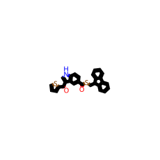 O=C(SCC1c2ccccc2-c2ccccc21)c1ccc2[nH]cc(C(=O)c3cccs3)c2c1